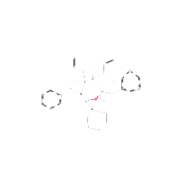 C=CC[C@@]1(O)[C@](O)(CC=C)[C@@](O)(Cc2ccccc2)[C@@]2(O)C3(CCCCC3)[C@@]2(O)[C@]1(O)Cc1ccccc1